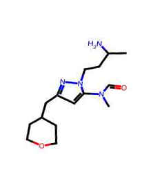 CC(N)CCn1nc(CC2CCOCC2)cc1N(C)C=O